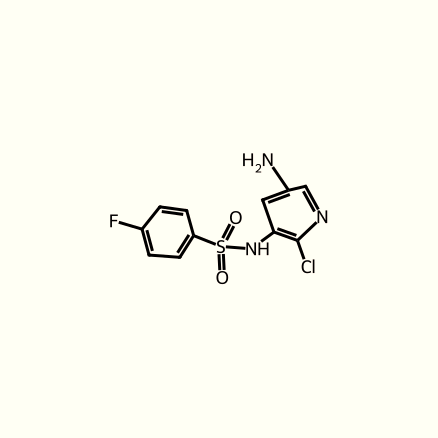 Nc1cnc(Cl)c(NS(=O)(=O)c2ccc(F)cc2)c1